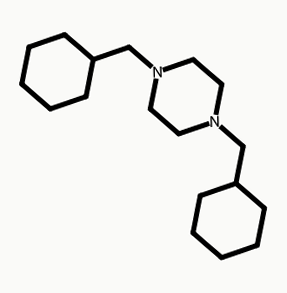 C1CCC(CN2CCN(CC3CCCCC3)CC2)CC1